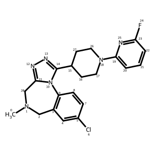 CN1Cc2cc(Cl)ccc2-n2c(nnc2C2CCN(c3cccc(F)n3)CC2)C1